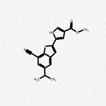 COC(=O)c1c[nH]c(-c2cc3cc(C(C)C)cc(C#N)c3s2)c1